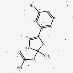 CC1(OC(=O)O)CC(c2cccc(Br)c2)=NO1